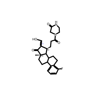 C[C@]12CCC3c4cccc(F)c4CCC3C1[C@H](CCC(=O)N1CCNC(=O)C1)/C(=C/O)C2=O